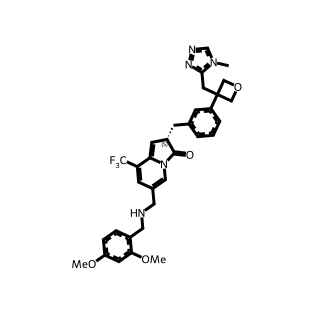 COc1ccc(CNCC2=CN3C(=O)[C@@H](Cc4cccc(C5(Cc6nncn6C)COC5)c4)C=C3C(C(F)(F)F)=C2)c(OC)c1